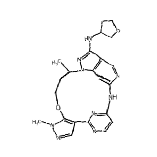 CC1CCOc2c(cnn2C)-c2nccc(n2)Nc2cc3c(cn2)c(NC2CCOC2)nn31